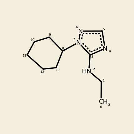 CCNc1ncnn1C1CCCCC1